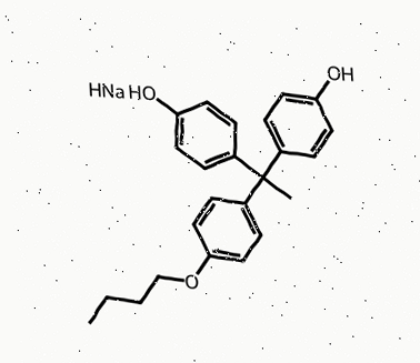 CCCCOc1ccc(C(C)(c2ccc(O)cc2)c2ccc(O)cc2)cc1.[NaH]